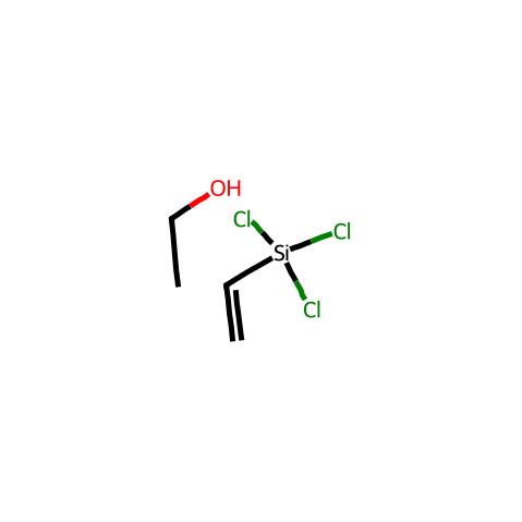 C=C[Si](Cl)(Cl)Cl.CCO